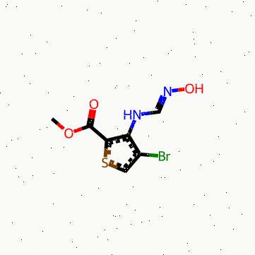 COC(=O)c1scc(Br)c1NC=NO